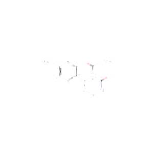 COC(=O)[C@H]1C(=O)NCCC1c1ccc(OC)cc1